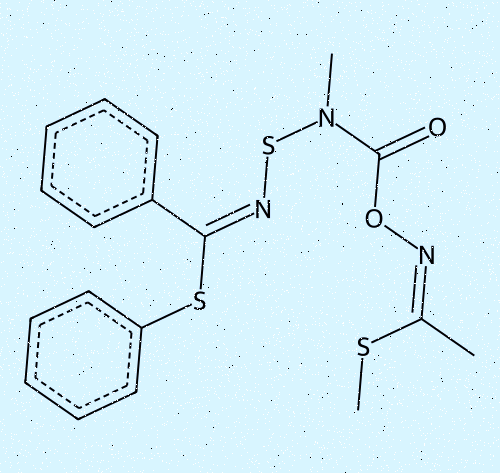 CSC(C)=NOC(=O)N(C)SN=C(Sc1ccccc1)c1ccccc1